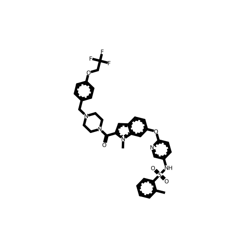 Cc1ccccc1S(=O)(=O)Nc1ccc(Oc2ccc3cc(C(=O)N4CCN(Cc5ccc(OCC(F)(F)F)cc5)CC4)n(C)c3c2)nc1